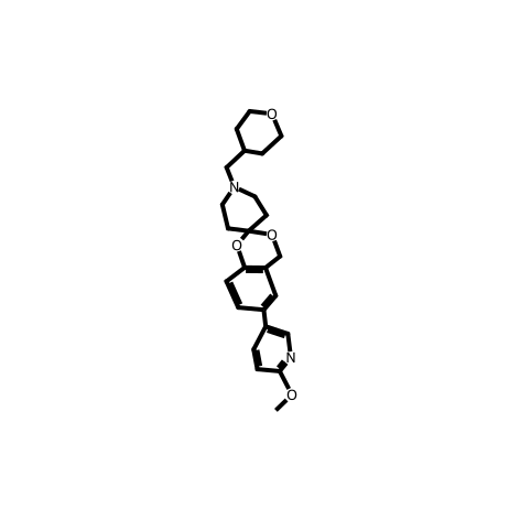 COc1ccc(-c2ccc3c(c2)COC2(CCN(CC4CCOCC4)CC2)O3)cn1